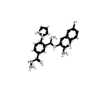 CC(Oc1cc2cc(F)ccc2nc1N)c1cc(C(=O)NN)ccc1-n1cccn1